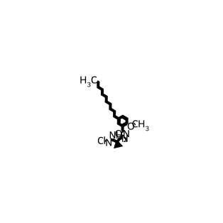 CCCCCCCCCCCc1ccc(OC)c(-c2nnc(C3(/C(N)=N/Cl)CC3)o2)c1